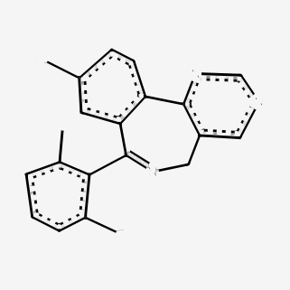 Fc1cccc(F)c1C1=NCc2cncnc2-c2ccc(Cl)cc21